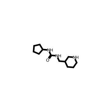 O=C(NCC1CCCNC1)NC1CCCC1